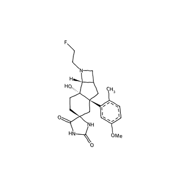 COc1ccc(C)c([C@]23CC4CN(CCF)[C@H]4[C@]2(O)CC[C@@]2(C3)NC(=O)NC2=O)c1